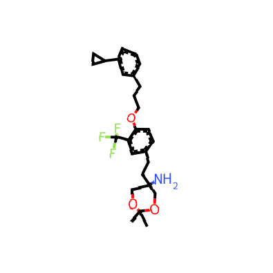 CC1(C)OCC(N)(CCc2ccc(OCCCc3cccc(C4CC4)c3)c(C(F)(F)F)c2)CO1